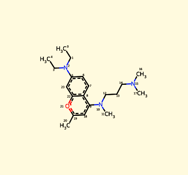 CCN(CC)c1ccc2c(N(C)CCCN(C)C)cc(C)[o+]c2c1